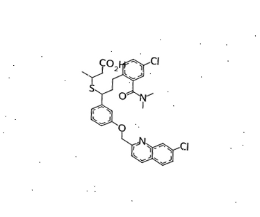 CC(CC(=O)O)SC(CCc1ccc(Cl)cc1C(=O)N(C)C)c1cccc(OCc2ccc3ccc(Cl)cc3n2)c1